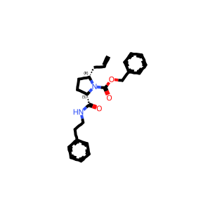 C=CC[C@H]1CC[C@@H](C(=O)NCCc2ccccc2)N1C(=O)OCc1ccccc1